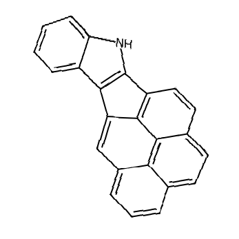 c1cc2ccc3ccc4c5c(cc(c1)c2c35)-c1c-4[nH]c2ccccc12